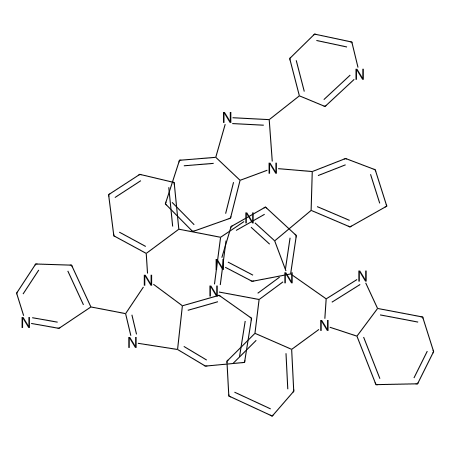 c1cncc(-c2nc3ccccc3n2-c2ccccc2-c2nc(-c3ccccc3-n3c(-c4cccnc4)nc4ccccc43)nc(-c3ccccc3-n3c(-c4cccnc4)nc4ccccc43)n2)c1